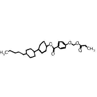 C=CC(=O)OCOc1ccc(C(=O)OC2CCC(C3CCC(CCCCC)CC3)CC2)cc1